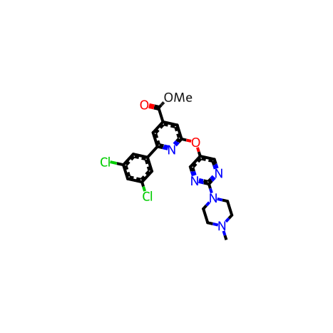 COC(=O)c1cc(Oc2cnc(N3CCN(C)CC3)nc2)nc(-c2cc(Cl)cc(Cl)c2)c1